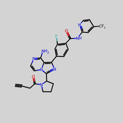 C#CCC(=O)N1CCCC1c1nc(-c2ccc(C(=O)Nc3cc(C(F)(F)F)ccn3)c(F)c2)c2c(N)nccn12